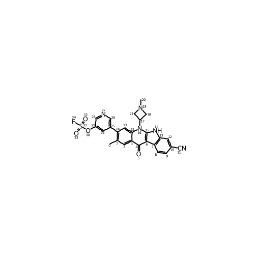 Cc1cc2c(=O)c3c4ccc(C#N)cc4[nH]c3n(C3CN(C)C3)c2cc1-c1cncc(OS(=O)(=O)F)c1